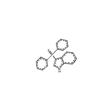 S=P(c1ccccc1)(c1ccccc1)c1c[nH]c2ccccc12